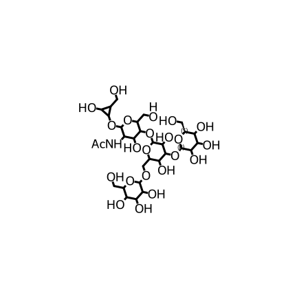 CC(=O)NC1C(OC2C(O)C2CO)OC(CO)C(OC2OC(COC3OC(CO)C(O)C(O)C3O)C(O)C(O[C@H]3O[C@@H](CO)C(O)C(O)C3O)C2O)C1O